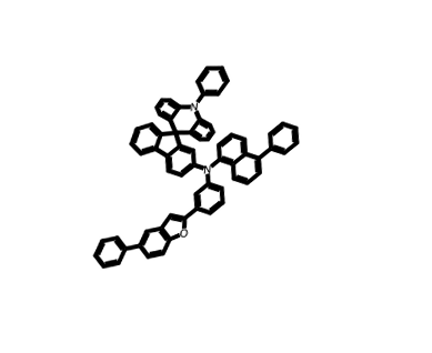 c1ccc(-c2ccc3oc(-c4cccc(N(c5ccc6c(c5)C5(c7ccccc7-6)c6ccccc6N(c6ccccc6)c6ccccc65)c5cccc6c(-c7ccccc7)cccc56)c4)cc3c2)cc1